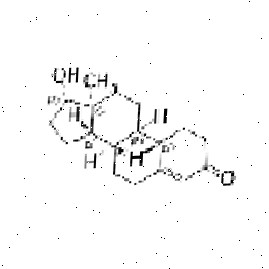 C[C@]12CC[C@@H]3[C@@H](CCC4=CC(=O)CC[C@H]43)[C@@H]1CC[C@@H]2O